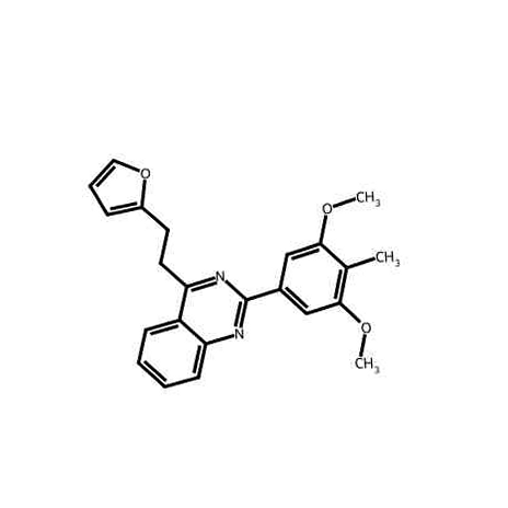 COc1cc(-c2nc(CCc3ccco3)c3ccccc3n2)cc(OC)c1C